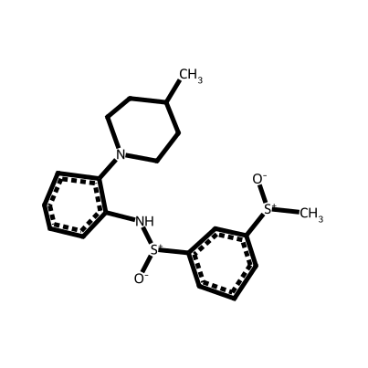 CC1CCN(c2ccccc2N[S+]([O-])c2cccc([S+](C)[O-])c2)CC1